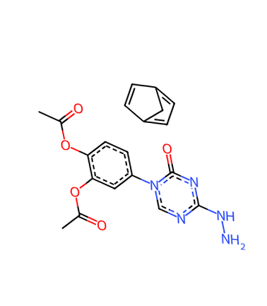 C1=CC2=CC=C1C2.CC(=O)Oc1ccc(-n2cnc(NN)nc2=O)cc1OC(C)=O